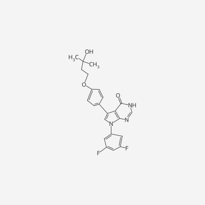 CC(C)(O)CCOc1ccc(-c2cn(-c3cc(F)cc(F)c3)c3nc[nH]c(=O)c23)cc1